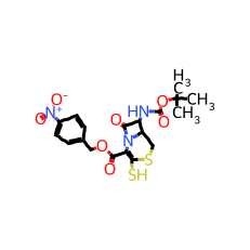 CC(C)(C)OC(=O)NC1C(=O)N2C(C(=O)OCc3ccc([N+](=O)[O-])cc3)=C(S)SCC12